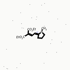 CCOC(=O)C(=C/C=C1\CCCN1C)C(=O)OCC